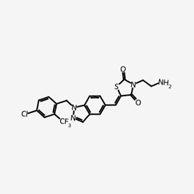 NCCN1C(=O)S/C(=C\c2ccc3c(cnn3Cc3ccc(Cl)cc3C(F)(F)F)c2)C1=O